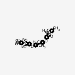 Cc1ccc(N2C(=O)c3ccc(Oc4ccc(C(C)(C)c5ccc(Oc6ccc7c(c6)C(=O)N(c6c(Br)cc([N+](=O)[O-])cc6Br)C7=O)cc5)cc4)cc3C2=O)c(C)c1